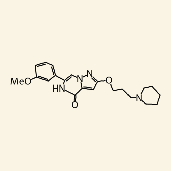 COc1cccc(-c2cn3nc(OCCCN4CCCCC4)cc3c(=O)[nH]2)c1